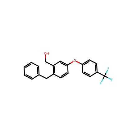 OCc1cc(Oc2ccc(C(F)(F)F)cc2)ccc1Cc1ccccc1